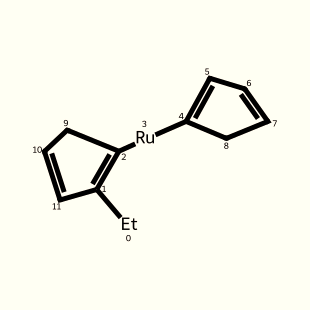 CCC1=[C]([Ru][C]2=CC=CC2)CC=C1